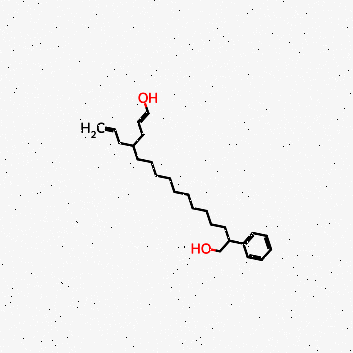 C=CCC(CC=CO)CCCCCCCCCCC(CO)c1ccccc1